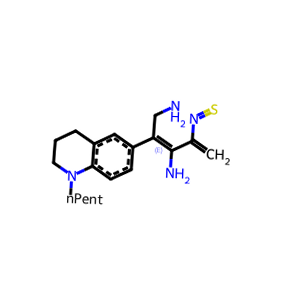 C=C(N=S)/C(N)=C(\CN)c1ccc2c(c1)CCCN2CCCCC